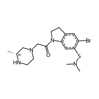 C[C@@H]1CN(CC(=O)N2CCc3cc(Br)c(SN(C)C)cc32)CCN1